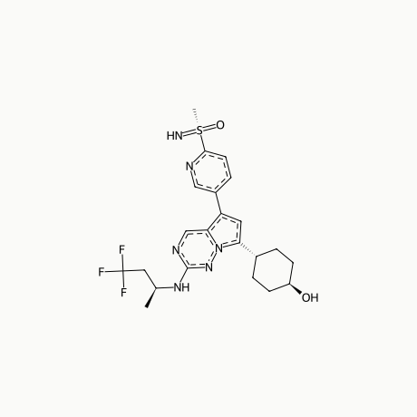 C[C@@H](CC(F)(F)F)Nc1ncc2c(-c3ccc([S@@](C)(=N)=O)nc3)cc([C@H]3CC[C@H](O)CC3)n2n1